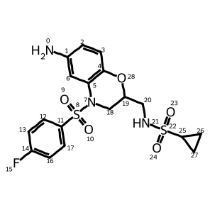 Nc1ccc2c(c1)N(S(=O)(=O)c1ccc(F)cc1)CC(CNS(=O)(=O)C1CC1)O2